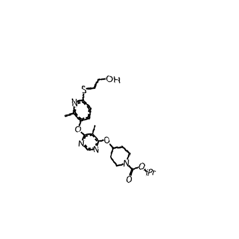 Cc1nc(SCCO)ccc1Oc1ncnc(OC2CCN(C(=O)OC(C)C)CC2)c1C